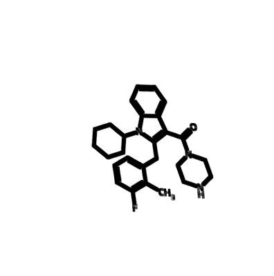 Cc1c(F)cccc1Cc1c(C(=O)N2CCNCC2)c2ccccc2n1C1CCCCC1